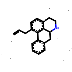 C=CCc1ccc2c3c1-c1ccccc1CC3NCC2